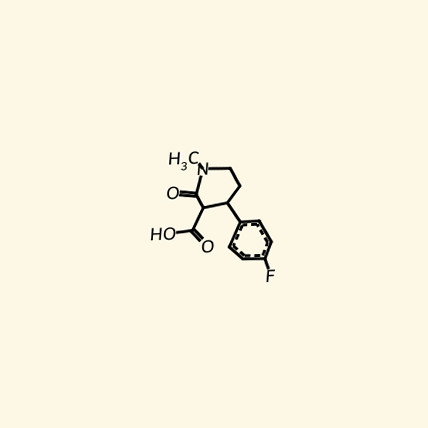 CN1CCC(c2ccc(F)cc2)C(C(=O)O)C1=O